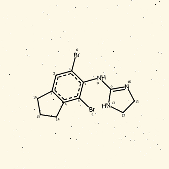 Brc1cc2c(c(Br)c1NC1=NCCN1)CCC2